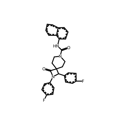 O=C(Nc1cccc2ccccc12)N1CCC2(CC1)C(=O)N(c1ccc(F)cc1)C2c1ccc(F)cc1